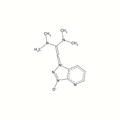 CN(C)C(=C=[N+]1N=[N+]([O-])c2ncccc21)N(C)C